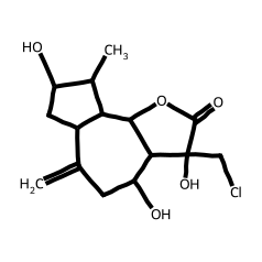 C=C1CC(O)C2C(OC(=O)C2(O)CCl)C2C1CC(O)C2C